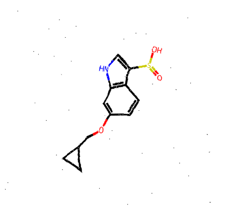 O=S(O)c1c[nH]c2cc(OCC3CC3)ccc12